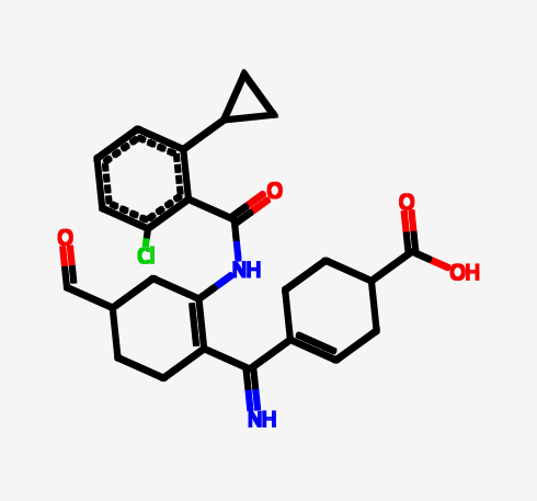 N=C(C1=CCC(C(=O)O)CC1)C1=C(NC(=O)c2c(Cl)cccc2C2CC2)CC(C=O)CC1